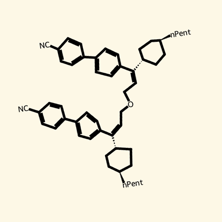 CCCCC[C@H]1CC[C@H](C(=CCOCC=C(c2ccc(-c3ccc(C#N)cc3)cc2)[C@H]2CC[C@H](CCCCC)CC2)c2ccc(-c3ccc(C#N)cc3)cc2)CC1